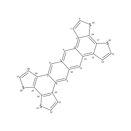 c1cc2c3cc4cc5c(cc4cc3c3ccsc3c2s1)c1ccsc1c1sccc51